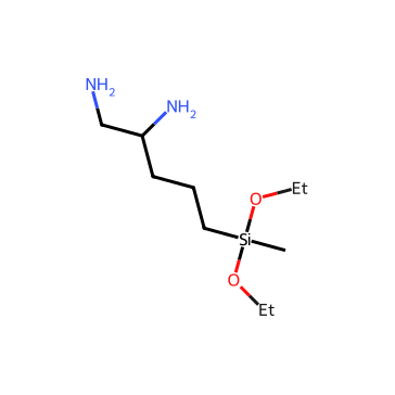 CCO[Si](C)(CCCC(N)CN)OCC